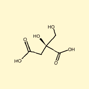 O=C(O)C[C@](O)(CO)C(=O)O